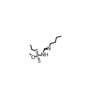 CCCC/N=C/NP(=S)(OC)SCC